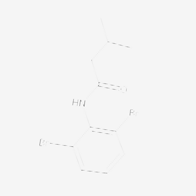 CC(C)CC(=O)Nc1c(Br)cccc1Br